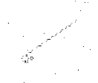 CCCCCCCCCCCCCCCCCCCC[CH][C@@H](CC)C(=O)O